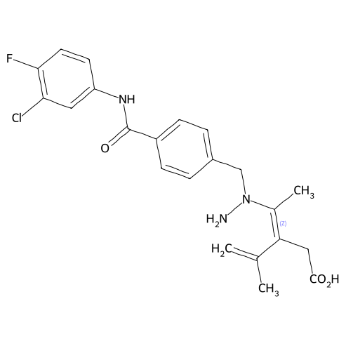 C=C(C)/C(CC(=O)O)=C(/C)N(N)Cc1ccc(C(=O)Nc2ccc(F)c(Cl)c2)cc1